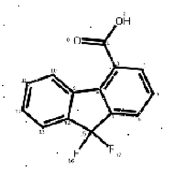 O=C(O)c1cccc2c1-c1ccccc1C2(F)F